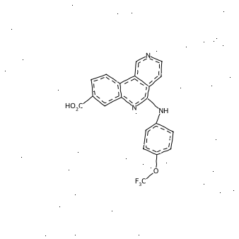 O=C(O)c1ccc2c(c1)nc(Nc1ccc(OC(F)(F)F)cc1)c1ccncc12